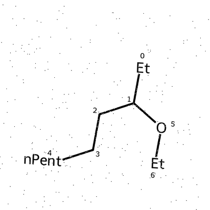 [CH2]CC(CCCCCCC)OCC